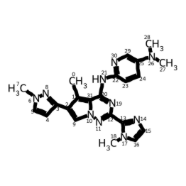 Cc1c(-c2ccn(C)n2)cn2nc(-c3nccn3C)nc(Nc3ccc(N(C)C)cn3)c12